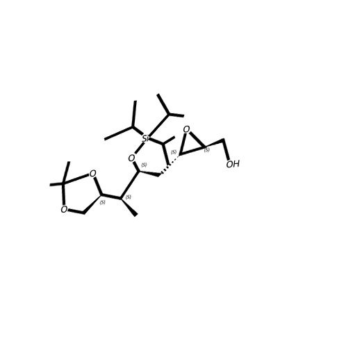 CC(C)[Si](O[C@@H](C[C@@H]1O[C@H]1CO)[C@@H](C)[C@H]1COC(C)(C)O1)(C(C)C)C(C)C